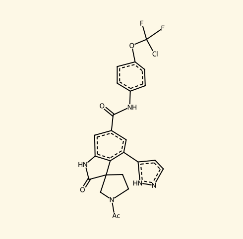 CC(=O)N1CCC2(C1)C(=O)Nc1cc(C(=O)Nc3ccc(OC(F)(F)Cl)cc3)cc(-c3ccn[nH]3)c12